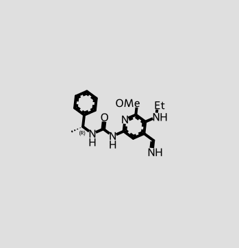 CCNc1c(C=N)cc(NC(=O)N[C@H](C)c2ccccc2)nc1OC